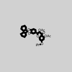 CC(=O)Oc1c(-c2ccc3c(c2)OC(c2ccccc2)(c2ccccc2)O3)oc2cc(OC(C)C)cc(OC(C)=O)c2c1=O